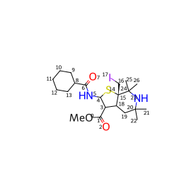 COC(=O)C1C(NC(=O)C2CCCCC2)S[C@@]2(CI)C1CC(C)(C)NC2(C)C